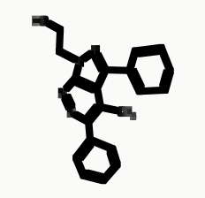 Cc1c(-c2ccccc2)nnc2c1c(-c1ccccc1)nn2CCO